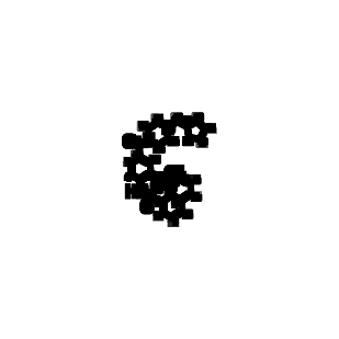 O=C(c1ccc(NS(=O)(=O)c2cccc3cccnc23)c(OC(F)(F)F)c1)N1CCN(CC2CCCC2)CC1